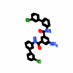 Nc1cc(C(=O)Nc2cccc(-c3cccc(Cl)c3)c2)cc(C(=O)Nc2cccc(-c3cccc(Cl)c3)c2)c1